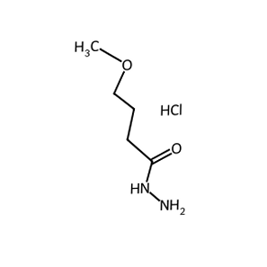 COCCCC(=O)NN.Cl